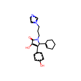 O=C1C(O)=C(c2ccc(O)cc2)C(C2=CCCCC2)N1CCCn1ccnc1